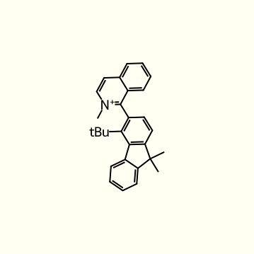 C[n+]1ccc2ccccc2c1-c1ccc2c(c1C(C)(C)C)-c1ccccc1C2(C)C